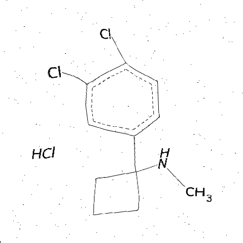 CNC1(c2ccc(Cl)c(Cl)c2)CCC1.Cl